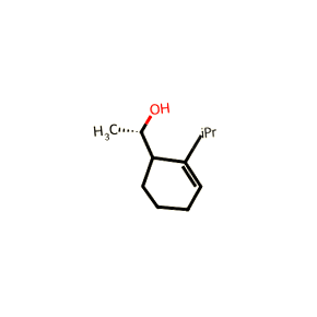 CC(C)C1=CCCCC1[C@H](C)O